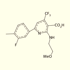 COCCNc1nc(-c2ccc(C)c(F)c2)cc(C(F)(F)F)c1C(=O)O